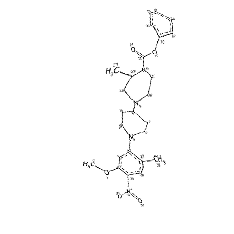 COc1cc(N2CCC(N3CCN(C(=O)Oc4ccccc4)C(C)C3)CC2)c(C)cc1[N+](=O)[O-]